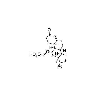 CC(=O)[C@H]1CC[C@H]2[C@@H]3CCC4=CC(=O)CC[C@]4(C)[C@H]3[C@H](OCC(=O)O)C[C@]12C